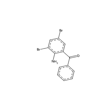 Nc1c(Br)cc(Br)cc1C(=O)c1ccccc1